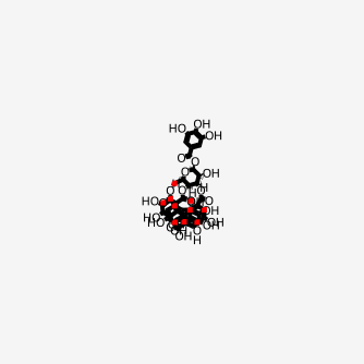 O=C(O[C@@H]1O[C@@H]2COC(=O)c3cc(O)c(O)c(O)c3-c3c(cc(O)c(O)c3O)C(=O)O[C@H]([C@H]1O)[C@@H]2OC(=O)c1cc(O)c(O)c(O)c1-c1c(C(=O)O)cc(O)c(O)c1O)c1cc(O)c(O)c(O)c1